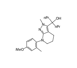 CCCC(O)(CCC)c1c2c(nn1C)N(c1ccc(OC)cc1C)CCC2